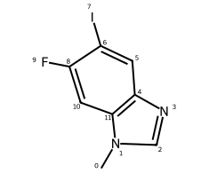 Cn1cnc2cc(I)c(F)cc21